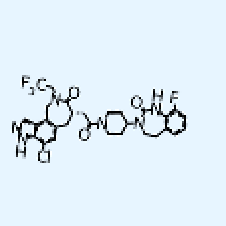 O=C(C[C@@H]1Cc2cc(Cl)c3[nH]ncc3c2CN(CC(F)(F)F)C1=O)N1CCC(N2CCc3cccc(F)c3NC2=O)CC1